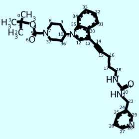 CC(C)(C)OC(=O)N1CCC(n2cc(C#CCCCNC(=O)NCc3cccnc3)c3ccccc32)CC1